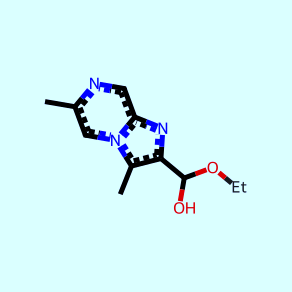 CCOC(O)c1nc2cnc(C)cn2c1C